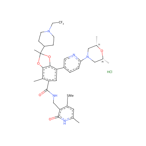 CSc1cc(C)[nH]c(=O)c1CNC(=O)c1cc(-c2ccc(N3C[C@@H](C)O[C@@H](C)C3)nc2)c2c(c1C)OC(C)(C1CCN(CC(F)(F)F)CC1)O2.Cl